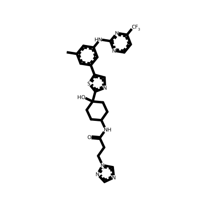 Cc1cc(Nc2nccc(C(F)(F)F)n2)cc(-c2cnc(C3(O)CCC(NC(=O)CCn4cncn4)CC3)s2)c1